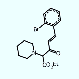 CCOC(=O)C(C(=O)C=Cc1ccccc1Br)N1CCCCC1